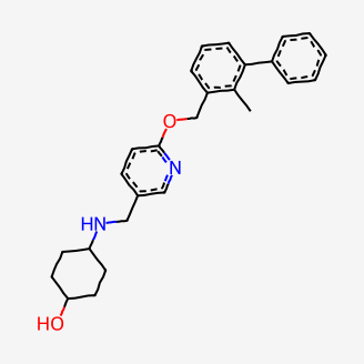 Cc1c(COc2ccc(CNC3CCC(O)CC3)cn2)cccc1-c1ccccc1